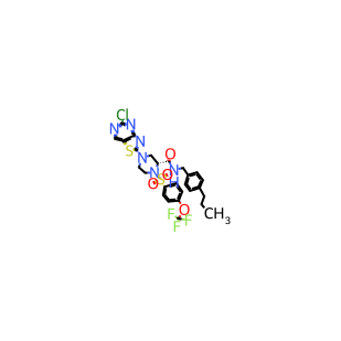 CCCc1ccc(CNC(=O)[C@H]2CN(c3nc4nc(Cl)ncc4s3)CCN2S(=O)(=O)c2ccc(OC(F)(F)F)cc2)cc1